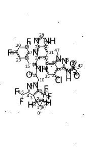 C[C@@H]1[C@@H]2c3c(C(F)F)nn(CC(=O)N[C@H](Cc4cc(F)cc(F)c4)c4nc5nc[nH]c5cc4-c4ccc(Cl)c5c(NS(C)(=O)=O)nn(C)c45)c3C(F)(F)[C@H]12